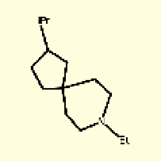 CCN1CCC2(CCC(C(C)C)C2)CC1